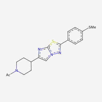 CSc1ccc(-c2nn3cc(C4CCN(C(C)=O)CC4)nc3s2)cc1